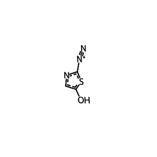 N#[N+]c1ncc(O)s1